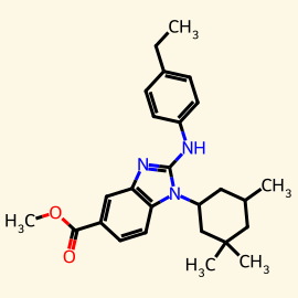 CCc1ccc(Nc2nc3cc(C(=O)OC)ccc3n2C2CC(C)CC(C)(C)C2)cc1